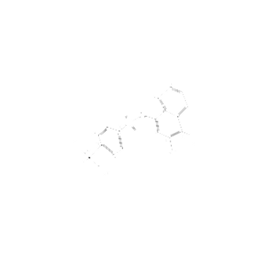 O=S(=O)(Nc1cc(Cl)c(O)c2ccccc12)c1ccc(C(F)(F)F)cc1